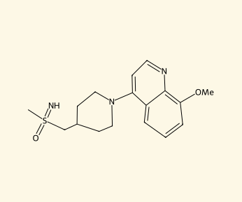 COc1cccc2c(N3CCC(CS(C)(=N)=O)CC3)ccnc12